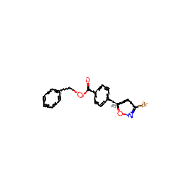 O=C(OCc1ccccc1)c1ccc([C@H]2CC(Br)=NO2)cc1